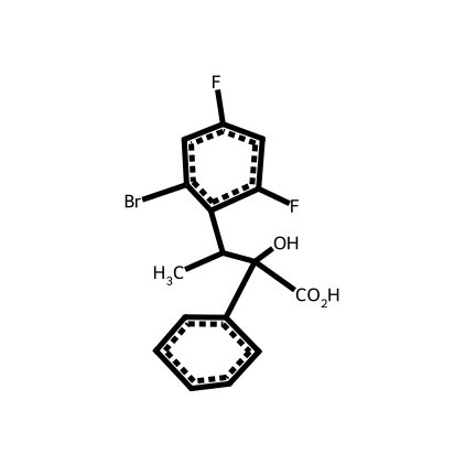 CC(c1c(F)cc(F)cc1Br)C(O)(C(=O)O)c1ccccc1